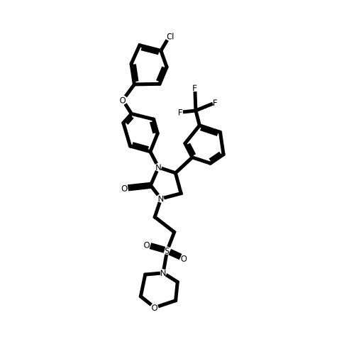 O=C1N(CCS(=O)(=O)N2CCOCC2)CC(c2cccc(C(F)(F)F)c2)N1c1ccc(Oc2ccc(Cl)cc2)cc1